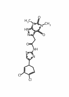 Cn1c(=O)c2c(CC(=O)Nc3nc(C4C=C(Cl)C(Cl)=CC4)cs3)n[nH]c2n(C)c1=O